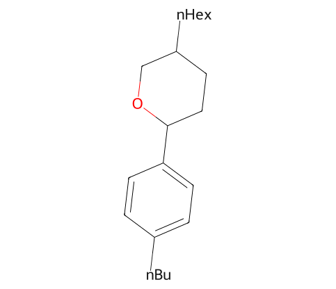 CCCCCCC1CCC(c2ccc(CCCC)cc2)OC1